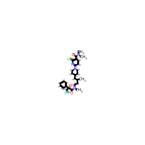 CC(CCN(C)C(=O)[C@](O)(c1ccccc1)C(F)(F)F)CC1CCN(c2ccc(C(=O)N(C)C)c(Cl)n2)CC1